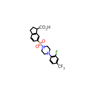 O=C(O)C1CCc2ccc(S(=O)(=O)N3CCN(c4ccc(C(F)(F)F)cc4F)CC3)cc21